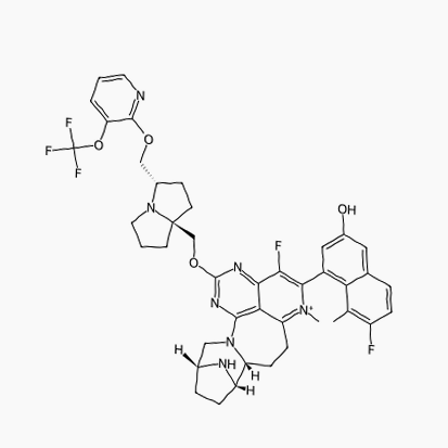 Cc1c(F)ccc2cc(O)cc(-c3c(F)c4nc(OC[C@@]56CCCN5[C@H](COc5ncccc5OC(F)(F)F)CC6)nc5c4c([n+]3C)CC[C@@H]3[C@@H]4CC[C@H](CN53)N4)c12